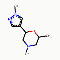 CC1CN(C(C)C)CC(c2cnn(C)c2)O1